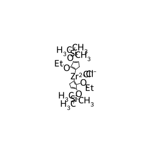 CCOC1=[C]([Zr+2][C]2=C(OCC)C(O[Si](C)(C)C)=CC2)CC=C1O[Si](C)(C)C.[Cl-].[Cl-]